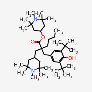 CCCCC(Cc1cc(C(C)(C)C)c(O)c(C(C)(C)C)c1)(CC1CC(C)(C)N(C)C(C)(C)C1)C(=O)OC1CC(C)(C)N(C)C(C)(C)C1